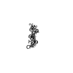 CCCn1cccc(-c2ccc(N3C[C@H](CNC(=O)c4ccc(Cl)s4)OC3=O)cc2OC)c1=O